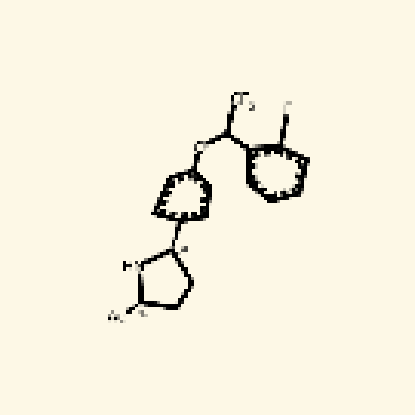 CC(=O)[C@@H]1CC[C@H](c2ccc(OC(c3ccccc3F)C(F)(F)F)cc2)N1